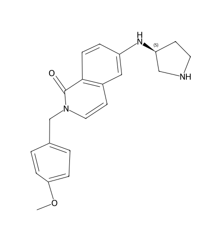 COc1ccc(Cn2ccc3cc(N[C@H]4CCNC4)ccc3c2=O)cc1